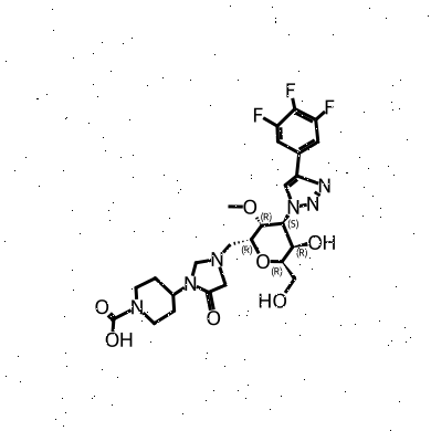 CO[C@@H]1[C@@H](n2cc(-c3cc(F)c(F)c(F)c3)nn2)[C@@H](O)[C@@H](CO)O[C@@H]1CN1CC(=O)N(C2CCN(C(=O)O)CC2)C1